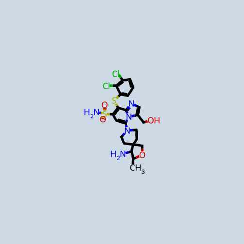 CC1OCC2(CCN(c3cc(S(N)(=O)=O)c(Sc4cccc(Cl)c4Cl)c4ncc(CO)n34)CC2)C1N